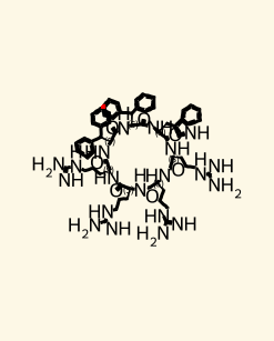 N=C(N)NCCC[C@@H]1NC(=O)[C@H](CCCNC(=N)N)NC(=O)[C@H](Cc2c[nH]c3ccccc23)NC(=O)[C@H](C(c2ccccc2)c2ccccc2)NC(=O)[C@H](C(c2ccccc2)c2ccccc2)NC(=O)[C@H](CCCNC(=N)N)NC(=O)[C@H](CCCNC(=N)N)NC1=O